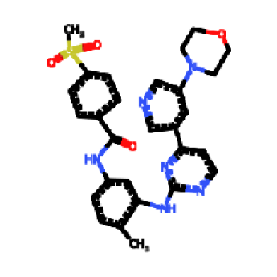 Cc1ccc(NC(=O)c2ccc(S(C)(=O)=O)cc2)cc1Nc1nccc(-c2cncc(N3CCOCC3)c2)n1